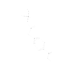 [2H]C([2H])([2H])OC(=O)Nc1ccc(C(=O)CCl)cc1